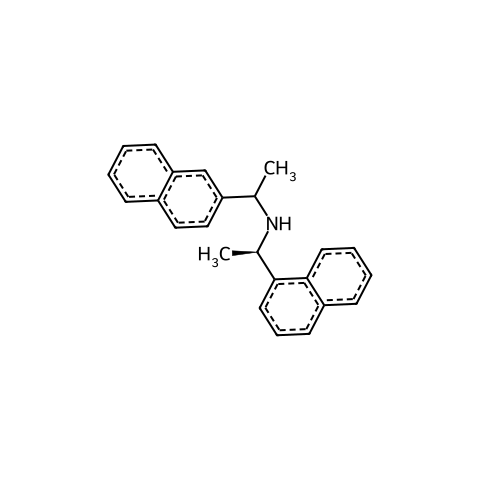 CC(N[C@H](C)c1cccc2ccccc12)c1ccc2ccccc2c1